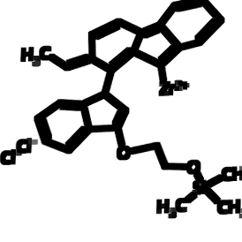 CC=c1ccc2c(c1C1C=C(OCCO[Si](C)(C)C)c3ccccc31)[C]([Zr+2])=c1ccccc1=2.[Cl-].[Cl-]